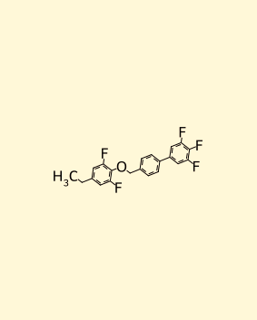 CCc1cc(F)c(OCc2ccc(-c3cc(F)c(F)c(F)c3)cc2)c(F)c1